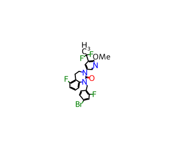 COc1ncc(N2CCc3c(F)cccc3N(Cc3ccc(Br)cc3F)C2=O)cc1C(C)(F)F